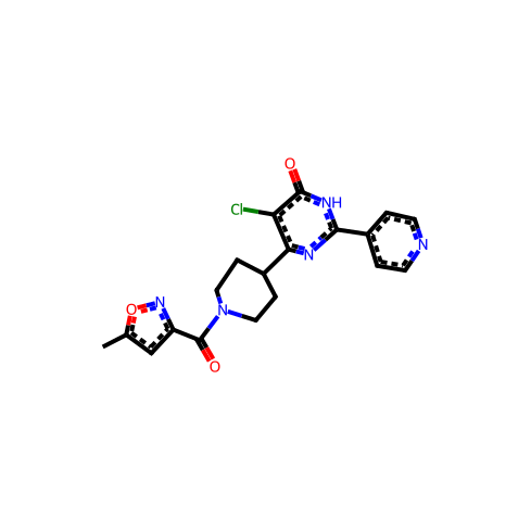 Cc1cc(C(=O)N2CCC(c3nc(-c4ccncc4)[nH]c(=O)c3Cl)CC2)no1